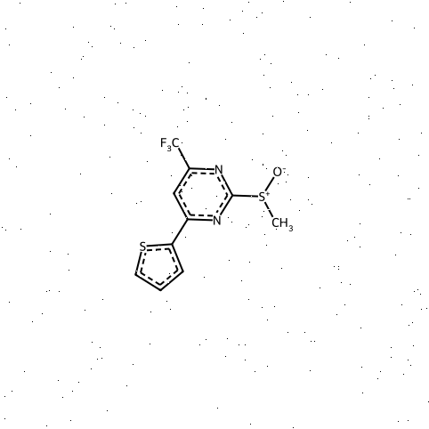 C[S+]([O-])c1nc(-c2cccs2)cc(C(F)(F)F)n1